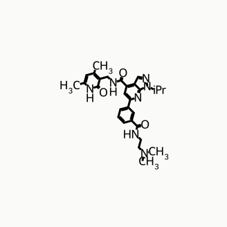 Cc1cc(C)c(CNC(=O)c2cc(-c3cccc(C(=O)NCCN(C)C)c3)nc3c2cnn3C(C)C)c(=O)[nH]1